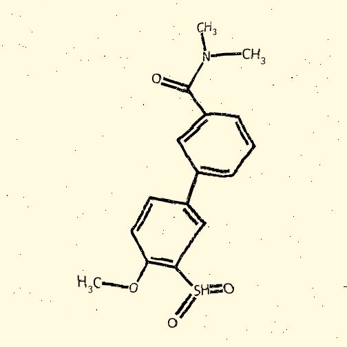 COc1ccc(-c2cccc(C(=O)N(C)C)c2)cc1[SH](=O)=O